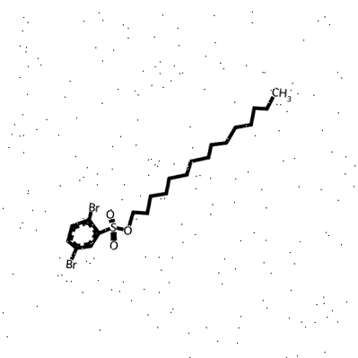 CCCCCCCCCCCCCCCOS(=O)(=O)c1cc(Br)ccc1Br